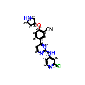 N#Cc1cc(-c2ccnc(Nc3ccnc(Cl)c3)n2)ccc1O[C@@H]1CCNC1